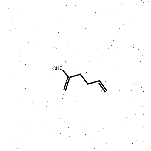 C=CCCC(=C)[C]=O